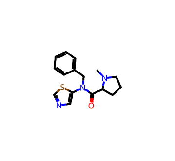 CN1CCCC1C(=O)N(Cc1ccccc1)c1cncs1